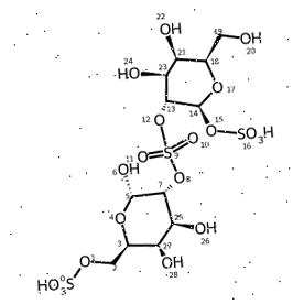 O=S(=O)(O)OC[C@H]1O[C@H](O)[C@H](OS(=O)(=O)O[C@H]2[C@H](OS(=O)(=O)O)O[C@H](CO)[C@H](O)[C@@H]2O)[C@@H](O)[C@H]1O